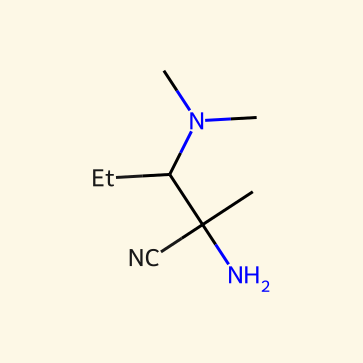 CCC(N(C)C)C(C)(N)C#N